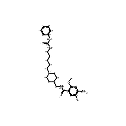 COc1cc(N)c(Cl)cc1C(=O)NCC1CCN(CCCCCNC(=O)Nc2ccccc2)CC1